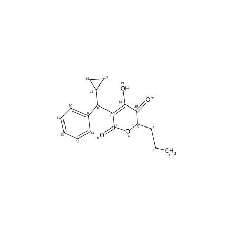 CCCC1OC(=O)C(C(c2ccccc2)C2CC2)=C(O)C1=O